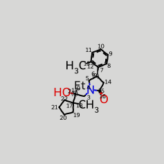 CC[C@@](O)(CN1C[C@@H](c2ccccc2C)CC1=O)C1(C)CCCC1